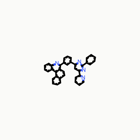 c1ccc(-c2nc(-c3cccc(-c4nc5ccccc5c5c4ccc4ccccc45)c3)cc(-c3ccccn3)n2)cc1